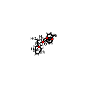 O=C(O)N[C@@H](CCN1[C@@H]2CC[C@H]1C[C@@H](NC(=O)Cc1ccc(F)cc1)C2)c1ccccc1